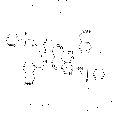 CNCc1ccccc1CNC(=O)C(C(C(=O)NCc1ccccc1CNC)n1c(Cl)cnc(NCC(F)(F)c2ccccn2)c1=O)n1c(Cl)cnc(NCC(F)(F)c2ccccn2)c1=O